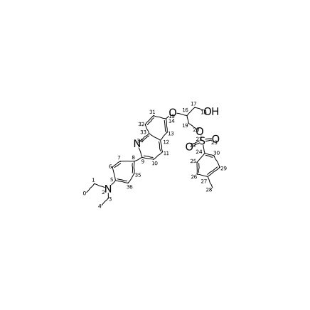 CCN(CC)c1ccc(-c2ccc3cc(OC(CO)COS(=O)(=O)c4ccc(C)cc4)ccc3n2)cc1